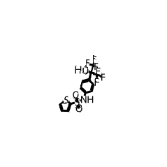 O=S(=O)(Nc1ccc(C(O)(C(F)(F)F)C(F)(F)F)cc1)c1cccs1